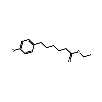 CCOC(=O)CCCCCc1ccc([O])cc1